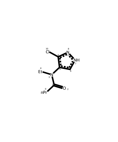 CCCC(=O)N(CC)c1c[nH]nc1Cl